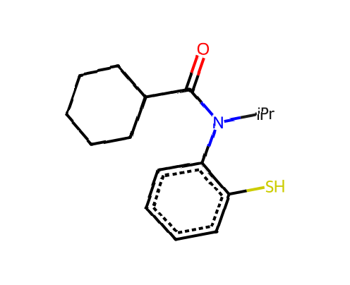 CC(C)N(C(=O)C1CCCCC1)c1ccccc1S